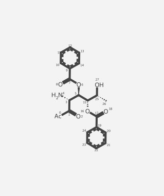 CC(=O)C(=O)[C@H](N)[C@@H](OC(=O)c1ccccc1)[C@@H](OC(=O)c1ccccc1)[C@@H](C)O